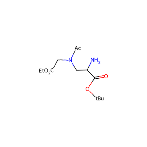 CCOC(=O)CN(CC(N)C(=O)OC(C)(C)C)C(C)=O